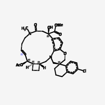 COC(=O)[C@@]1(O)CC(=O)N(C)CC/C=C/[C@H](OC(C)=O)[C@@H]2CC[C@H]2CN2C[C@@]3(CCCc4cc(Cl)ccc43)COc3ccc1cc32